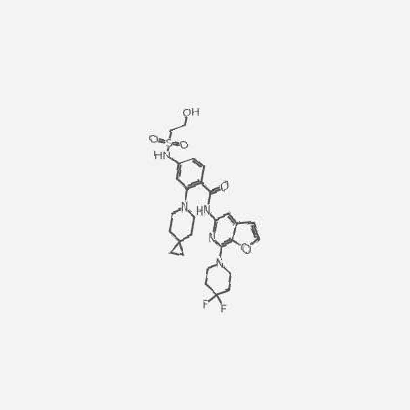 O=C(Nc1cc2ccoc2c(N2CCC(F)(F)CC2)n1)c1ccc(NS(=O)(=O)CCO)cc1N1CCC2(CC1)CC2